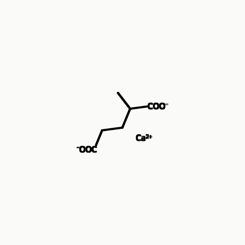 CC(CCC(=O)[O-])C(=O)[O-].[Ca+2]